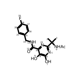 CC(=O)NC(C)(C)c1nc(O)c(O)c(C(=O)NCc2ccc(F)cc2)n1